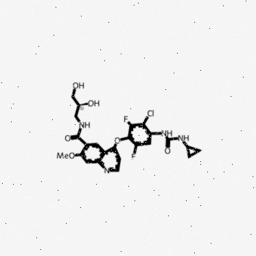 COc1cc2nccc(Oc3c(F)cc(NC(=O)NC4CC4)c(Cl)c3F)c2cc1C(=O)NC[C@H](O)CO